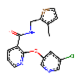 Cc1ccsc1CNC(=O)c1cccnc1Oc1cncc(Cl)c1